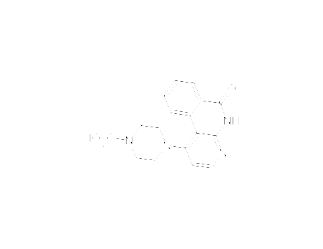 O=C(O)N1CCN(c2ccnc3[nH]c(=O)c4ccccc4c23)CC1